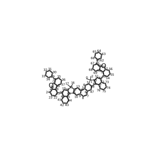 CC1(C)c2cc3c(ccc4cc5c(cc43)C(C)(C)c3cc(-c4cccc6oc7c(-c8ccccc8)cccc7c46)c4ccccc4c3-5)cc2-c2c1cc(-c1cccc3oc4c(-c5ccccc5)cccc4c13)c1ccccc21